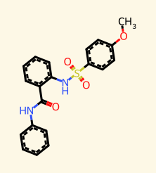 COc1ccc(S(=O)(=O)Nc2ccccc2C(=O)Nc2ccccc2)cc1